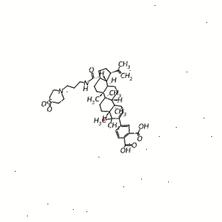 C=C(C)[C@@H]1CC[C@]2(C(=O)NCCCN3CCS(=O)(=O)CC3)CC[C@]3(C)[C@H](CC[C@@H]4[C@@]5(C)CC=C(c6ccc(C(=O)O)c(C(=O)O)c6)C(C)(C)[C@@H]5CC[C@]43C)[C@@H]12